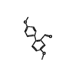 COc1ccc(-c2ccc(OC)cc2C=O)cc1